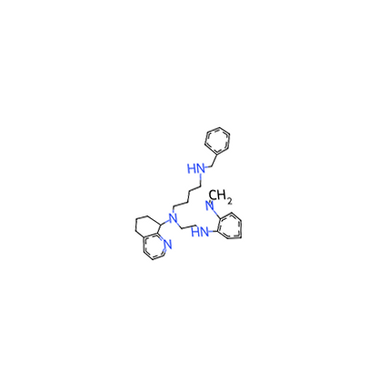 C=Nc1ccccc1NCCN(CCCCNCc1ccccc1)C1CCCc2cccnc21